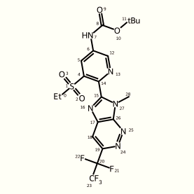 CCS(=O)(=O)c1cc(NC(=O)OC(C)(C)C)cnc1-c1nc2cc(C(F)(F)C(F)(F)F)nnc2n1C